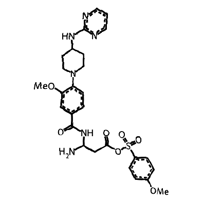 COc1ccc(S(=O)(=O)OC(=O)CC(N)NC(=O)c2ccc(N3CCC(Nc4ncccn4)CC3)c(OC)c2)cc1